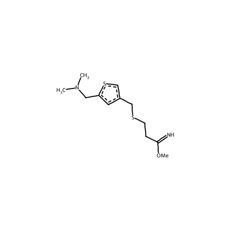 COC(=N)CCSCc1csc(CN(C)C)c1